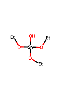 CC[O][Sn]([OH])([O]CC)[O]CC